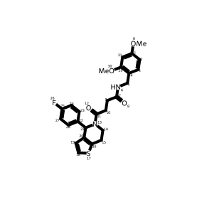 COc1ccc(CNC(=O)CCC(=O)N2CCc3sccc3C2c2ccc(F)cc2)c(OC)c1